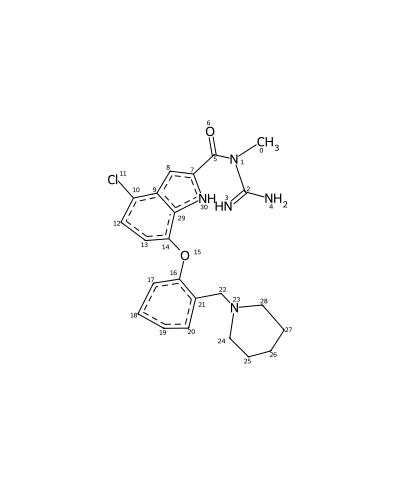 CN(C(=N)N)C(=O)c1cc2c(Cl)ccc(Oc3ccccc3CN3CCCCC3)c2[nH]1